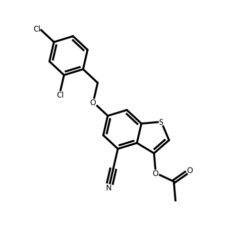 CC(=O)Oc1csc2cc(OCc3ccc(Cl)cc3Cl)cc(C#N)c12